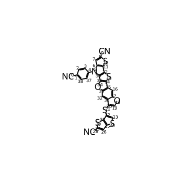 N#Cc1ccc(-n2c3cc(C#N)sc3c3sc4c5cc6occ(Sc7csc8cc(C#N)sc78)c6cc5oc4c32)cc1